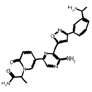 CC(N)c1cccc(-c2cc(-c3nc(-c4ccc(=O)n(C(C)C(N)=O)c4)cnc3N)on2)c1